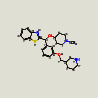 CN1CCC(OC(c2cccc(OCC3CCCNC3)c2)c2nc3ccccc3s2)CC1